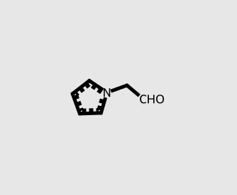 O=CCn1cccc1